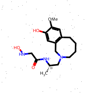 COc1cc2c(cc1O)CN(C[C@H](C)NC(=O)CNO)CCCC2